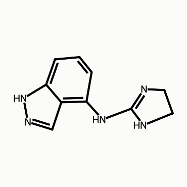 c1cc(NC2=NCCN2)c2cn[nH]c2c1